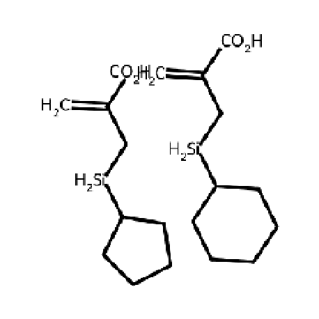 C=C(C[SiH2]C1CCCC1)C(=O)O.C=C(C[SiH2]C1CCCCC1)C(=O)O